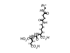 CC(C)CNC(=O)CCC(=O)NCCCCC(NC(=O)NC(CCC(=O)O)C(=O)O)C(=O)O